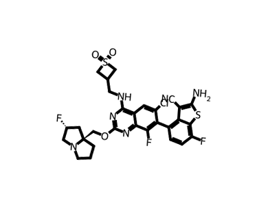 N#Cc1c(N)sc2c(F)ccc(-c3c(Cl)cc4c(NCC5CS(=O)(=O)C5)nc(OC[C@@]56CCCN5C[C@H](F)C6)nc4c3F)c12